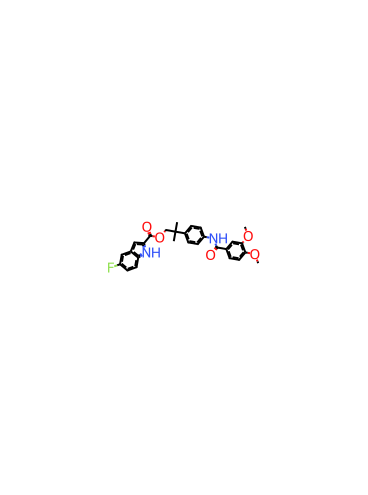 COc1ccc(C(=O)Nc2ccc(C(C)(C)COC(=O)c3cc4cc(F)ccc4[nH]3)cc2)cc1OC